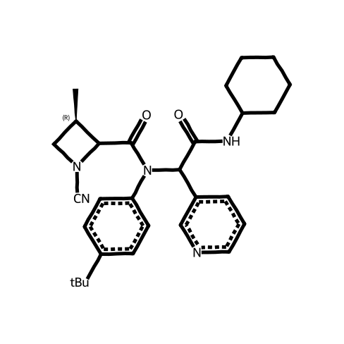 C[C@@H]1CN(C#N)C1C(=O)N(c1ccc(C(C)(C)C)cc1)C(C(=O)NC1CCCCC1)c1cccnc1